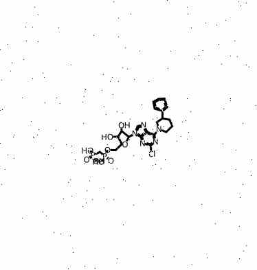 O=P(O)(O)CP(=O)(O)OCC1OC(n2cnc3c(N4CCCC(c5ccccc5)C4)nc(Cl)nc32)C(O)C1O